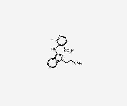 COCCn1nc(Nc2c(C(=O)O)ccnc2C)c2ccccc21